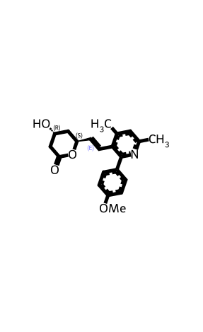 COc1ccc(-c2nc(C)cc(C)c2/C=C/[C@@H]2C[C@@H](O)CC(=O)O2)cc1